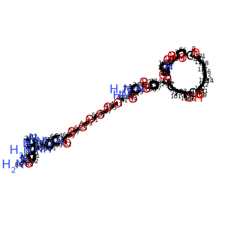 CO[C@H]1CC2CCCC(O2)C(=O)C(=O)N2CCCC[C@H]2C(=O)O[C@H](CC[C@H]2CC[C@H](OC(=O)N3CCC(N)(C(=O)NCCOCCOCCOCCOCCOCCOCCC(=O)N4CCc5cc(CNc6ncnc(N)c6C(=N)c6ccc7oc(N)nc7c6)ccc5C4)CC3)CC2)CC[C@H](C)/C=C(\C)[C@@H](O)CC(=O)[C@H](C)C[C@H](C)/C=C/C=C/C=C/1C